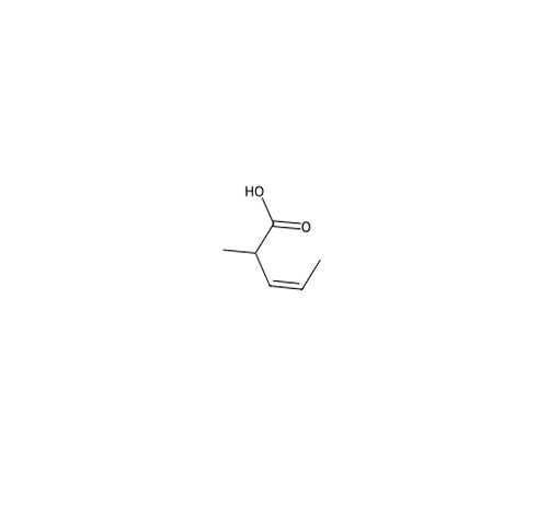 C/C=C\C(C)C(=O)O